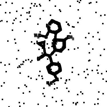 COc1ccc(N(C(=O)C2CC2)c2ccc(C)c(-c3cccnc3OC)n2)cc1